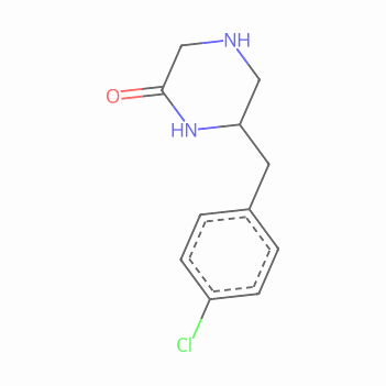 O=C1CNCC(Cc2ccc(Cl)cc2)N1